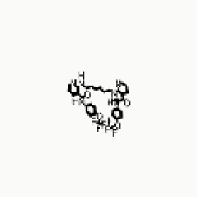 O=C(Nc1ccc(OC(F)(F)F)cc1)c1cccnc1NCCCCCCNc1ncccc1C(=O)Nc1ccc(OC(F)(F)F)cc1